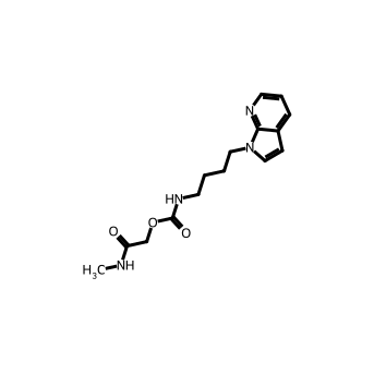 CNC(=O)COC(=O)NCCCCn1ccc2cccnc21